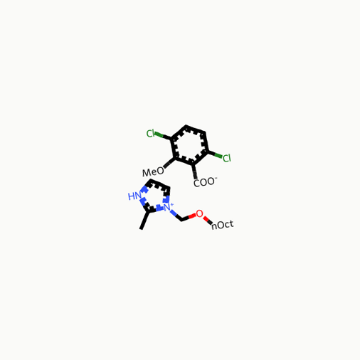 CCCCCCCCOC[n+]1cc[nH]c1C.COc1c(Cl)ccc(Cl)c1C(=O)[O-]